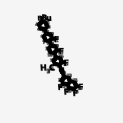 CCCCc1ccc(-c2ccc(-c3ccc(-c4cc(C)c(C#Cc5cc(F)c6c(F)c(F)c(F)cc6c5)c(F)c4)c(F)c3)c(F)c2)cc1